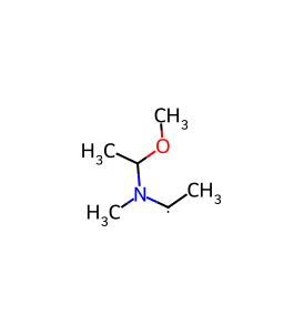 C[CH]N(C)C(C)OC